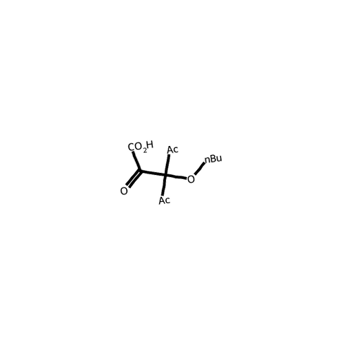 CCCCOC(C(C)=O)(C(C)=O)C(=O)C(=O)O